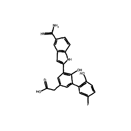 N=C(N)c1ccc2[nH]c(-c3cc(CC(=O)O)cc(-c4cc(F)ccc4O)c3O)cc2c1